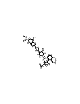 COC(=O)c1cc(F)c2nc(N3CC(c4ccc(OCc5c(-c6ccccc6OC(F)F)noc5C5CC5)cc4Cl)C3)sc2c1